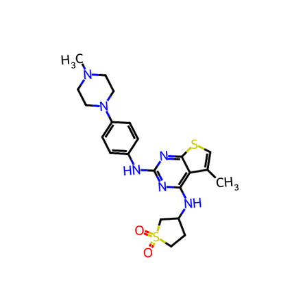 Cc1csc2nc(Nc3ccc(N4CCN(C)CC4)cc3)nc(NC3CCS(=O)(=O)C3)c12